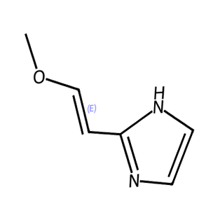 CO/C=C/c1ncc[nH]1